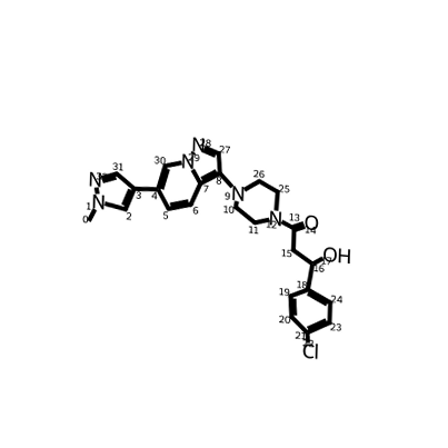 Cn1cc(-c2ccc3c(N4CCN(C(=O)CC(O)c5ccc(Cl)cc5)CC4)cnn3c2)cn1